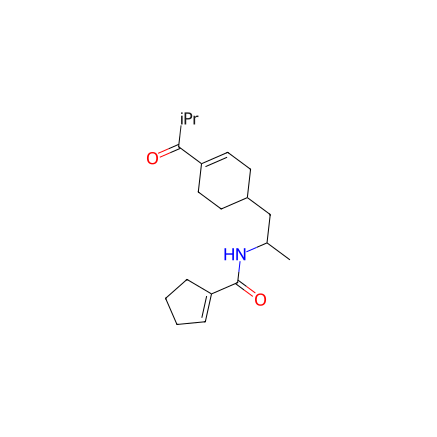 CC(CC1CC=C(C(=O)C(C)C)CC1)NC(=O)C1=CCCC1